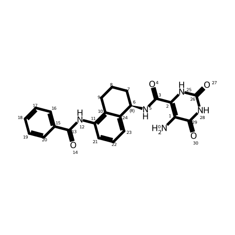 Nc1c(C(=O)N[C@@H]2CCCc3c(NC(=O)c4ccccc4)cccc32)[nH]c(=O)[nH]c1=O